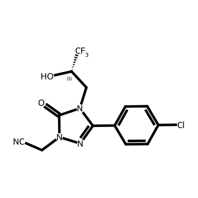 N#CCn1nc(-c2ccc(Cl)cc2)n(C[C@H](O)C(F)(F)F)c1=O